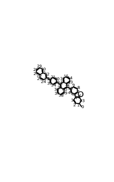 CC1C=Cc2c(oc3ccc(-c4c5ccccc5c(-c5ccc(-c6ccc7ccccc7c6)cc5)c5ccccc45)cc23)C1